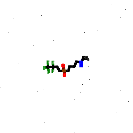 CNCCCCS(=O)(=O)CCC(F)(F)C(F)(F)F